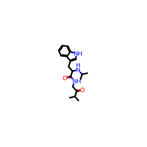 CC(C)NC(Cc1c[nH]c2ccccc12)C(=O)NCC(=O)C(C)C